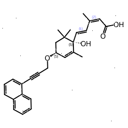 CC1=C[C@@H](OCC#Cc2cccc3ccccc23)CC(C)(C)[C@@]1(O)/C=C/C(C)=C\C(=O)O